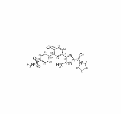 Cc1nc(C(=O)N2CCCC2)sc1-c1ccc(Cl)c(-c2ccc(S(N)(=O)=O)cc2)c1